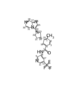 Cc1ccc(C(=O)Nc2cncc(C(F)(F)F)c2)cc1[C@@H]1CCN(c2cnc3cnccn23)C1